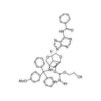 COc1ccc(C(N[C@]23CO[C@H]4[C@H](n5cnc6c(NC(=O)c7ccccc7)ncnc65)O[C@]5(C2)C(OP(OCCC#N)N(C(C)C)C(C)C)[C@@]435)(c2ccccc2)c2ccccc2)cc1